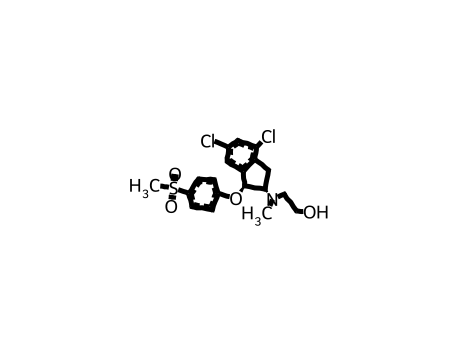 CN(CCO)[C@H]1Cc2c(Cl)cc(Cl)cc2[C@@H]1Oc1ccc(S(C)(=O)=O)cc1